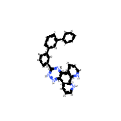 c1ccc(-c2cccc(-c3cccc(-c4nnc5c6cccnc6c6ncccc6c5n4)c3)c2)cc1